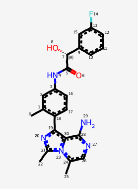 Cc1cc(NC(=O)[C@H](O)c2cccc(F)c2)ccc1-c1nc(C)n2c(C)cnc(N)c12